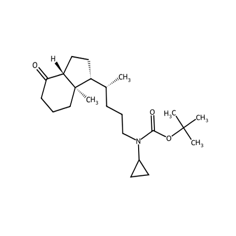 C[C@H](CCCN(C(=O)OC(C)(C)C)C1CC1)[C@H]1CC[C@H]2C(=O)CCC[C@]12C